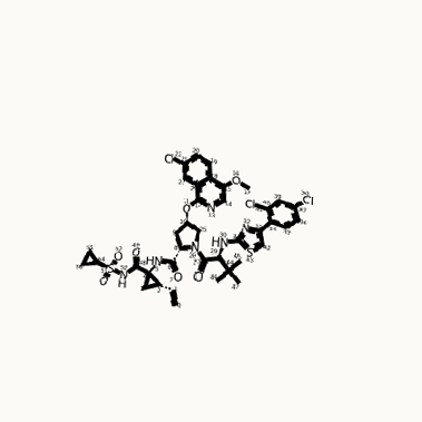 C=C[C@@H]1C[C@]1(NC(=O)[C@@H]1C[C@@H](Oc2ncc(OC)c3ccc(Cl)cc23)CN1C(=O)[C@@H](Nc1nc(-c2ccc(Cl)cc2Cl)cs1)C(C)(C)C)C(=O)NS(=O)(=O)C1CC1